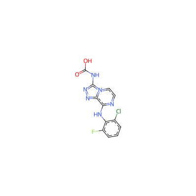 O=C(O)Nc1nnc2c(Nc3c(F)cccc3Cl)nccn12